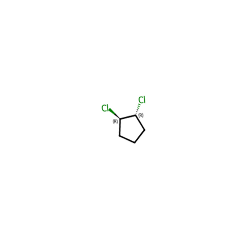 Cl[C@@H]1CCC[C@H]1Cl